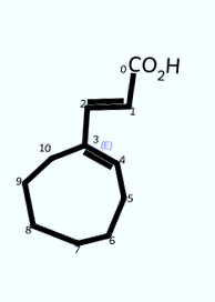 O=C(O)C=C/C1=C/CCCCCC1